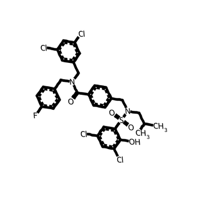 CC(C)CN(Cc1ccc(C(=O)N(Cc2ccc(F)cc2)Cc2cc(Cl)cc(Cl)c2)cc1)S(=O)(=O)c1cc(Cl)cc(Cl)c1O